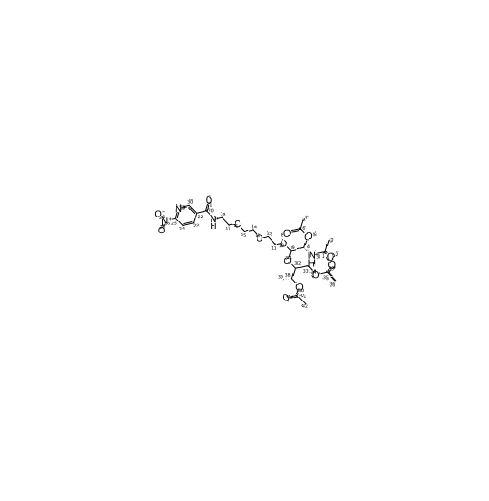 CC(=O)N[C@@H](OC(C)=O)C(OCCOCCOCCNC(=O)c1ccc([N+](=O)[O-])nc1)OC(COC(C)=O)[C@@H](C)OC(C)=O